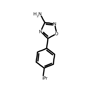 CC(C)c1ccc(-c2nc(N)no2)cc1